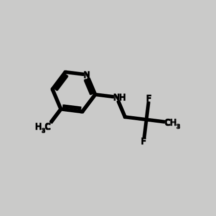 Cc1ccnc(NCC(C)(F)F)c1